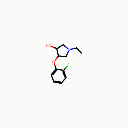 CCN1CC(O)C(Oc2ccccc2Cl)C1